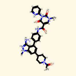 CC(C)C(=O)N1CCC(c2cc(-c3ccc(NC(=O)c4cn(C(C)C)c(=O)n(-c5ccccn5)c4=O)cc3)c3c(N)nn(C)c3c2)CC1